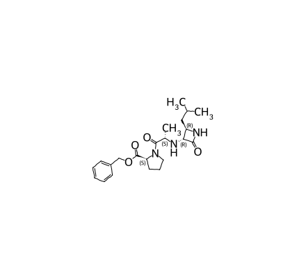 CC(C)C[C@H]1NC(=O)[C@@H]1N[C@@H](C)C(=O)N1CCC[C@H]1C(=O)OCc1ccccc1